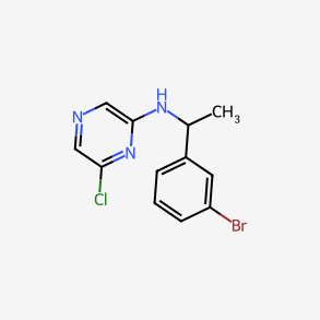 CC(Nc1cncc(Cl)n1)c1cccc(Br)c1